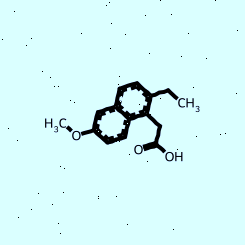 CCc1ccc2cc(OC)ccc2c1CC(=O)O